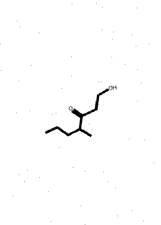 CCCC(C)C(=O)CCO